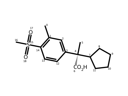 Cc1cc([C@](C)(C(=O)O)C2CCCC2)ccc1S(C)(=O)=O